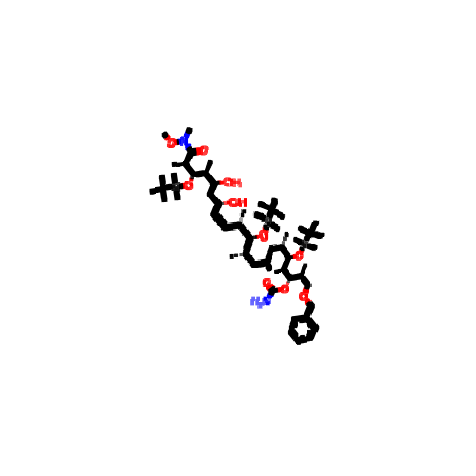 CON(C)C(=O)[C@H](C)[C@@H](O[Si](C)(C)C(C)(C)C)[C@@H](C)[C@@H](O)C[C@H](O)/C=C\[C@H](C)[C@H](O[Si](C)(C)C(C)(C)C)[C@@H](C)/C=C(/C)C[C@H](C)[C@@H](O[Si](C)(C)C(C)(C)C)[C@H](C)[C@@H](OC(N)=O)[C@@H](C)COCc1ccccc1